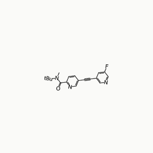 CN(C(=O)c1ccc(C#Cc2cncc(F)c2)cn1)C(C)(C)C